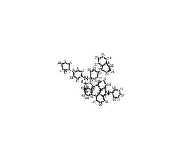 CC1(N(c2ccc(-c3ccccc3)cc2)c2ccc(-c3cccc4ccccc34)cc2)C=CC=C(c2cccc3c2c2c(-c4ccccc4)cccc2n3-c2ccccc2)C1